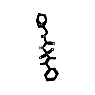 C/C(=C(/C)S(=O)(=O)NC(=O)NCC1CC2CCC1O2)c1ccccc1